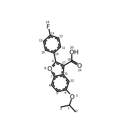 CC(C)Oc1ccc2oc(-c3ccc(F)cc3)c(C(=O)O)c2c1